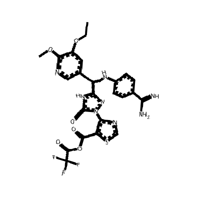 CCOc1cc(C(Nc2ccc(C(=N)N)cc2)c2nn(-c3ncsc3C(=O)OC(=O)C(F)(F)F)c(=O)[nH]2)cnc1OC